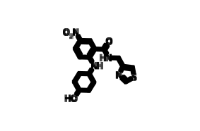 O=C(NCc1cscn1)c1cc([N+](=O)[O-])ccc1NC1CCC(O)CC1